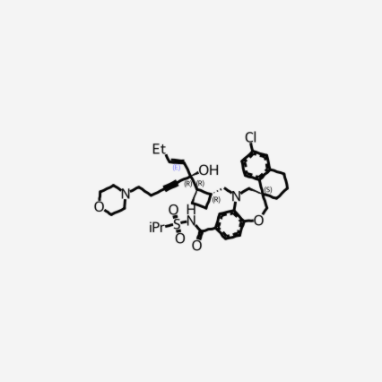 CC/C=C/[C@@](O)(C#CCCN1CCOCC1)[C@@H]1CC[C@H]1CN1C[C@@]2(CCCc3cc(Cl)ccc32)COc2ccc(C(=O)NS(=O)(=O)C(C)C)cc21